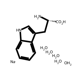 N[C@@H](Cc1c[nH]c2ccccc12)C(=O)O.O.O.O.O.O.[Na]